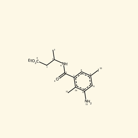 CCOC(=O)CC(C)NC(=O)c1cc(I)cc(N)c1C